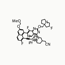 COCOc1cc(-c2ncc3c(N4CCCC(CC#N)C4)nc(OC[C@@]45CCCN4C[C@H](F)C5)nc3c2F)c2c(C#C[Si](C(C)C)(C(C)C)C(C)C)c(F)ccc2c1